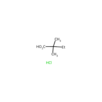 CCC(C)(C)C(=O)O.Cl